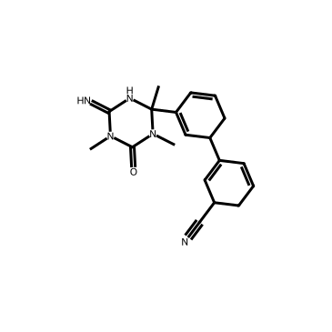 CN1C(=N)NC(C)(C2=CC(C3=CC(C#N)CC=C3)CC=C2)N(C)C1=O